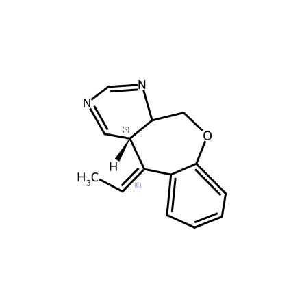 C/C=C1/c2ccccc2OCC2N=CN=C[C@@H]12